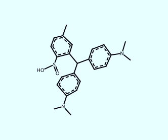 Cc1ccc(S(=O)O)c(C(c2ccc(N(C)C)cc2)c2ccc(N(C)C)cc2)c1